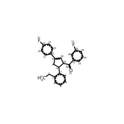 CCc1ccccc1C1CC(c2ccc(F)cc2)=CC1C(=O)c1cccc(F)c1